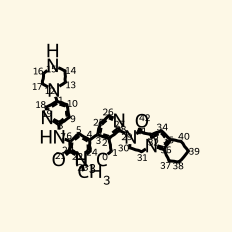 CCc1c(-c2cc(Nc3ccc(N4CCNCC4)cn3)c(=O)n(C)c2)ccnc1N1CCn2c(cc3c2CCCC3)C1=O